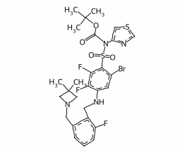 CC1(C)CN(Cc2cccc(F)c2CNc2cc(Br)c(S(=O)(=O)N(C(=O)OC(C)(C)C)c3cscn3)c(F)c2F)C1